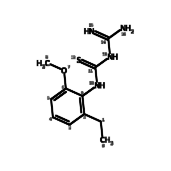 CCc1cccc(OC)c1NC(=S)NC(=N)N